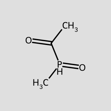 CC(=O)[PH](C)=O